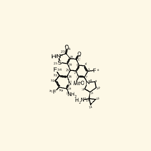 COc1c2c(cc(F)c1N1CC[C@@H](C3(N)CC3)C1)C(=O)c1c(s[nH]c1=O)C2c1nc(N)c(F)cc1F